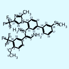 COc1ccc(/C(=C/N)N(N)c2cc(-c3cccc(SC)c3)ccc2-n2cc(C(F)(F)F)nc2C)cc1C(F)(F)F